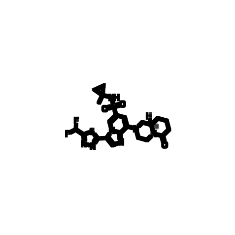 CC1(NS(=O)(=O)c2cc(N3CCN4C(=O)CCC[C@H]4C3)c3ncc(-c4nnc(C(F)F)s4)n3c2)CC1